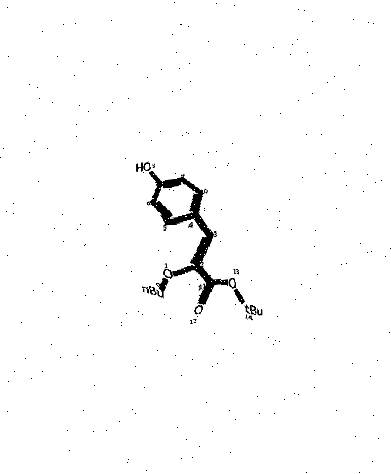 CCCCOC(=Cc1ccc(O)cc1)C(=O)OC(C)(C)C